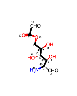 N[C@@H](C=O)[C@@H](O)[C@H](O)[C@H](O)COC(=O)C=O